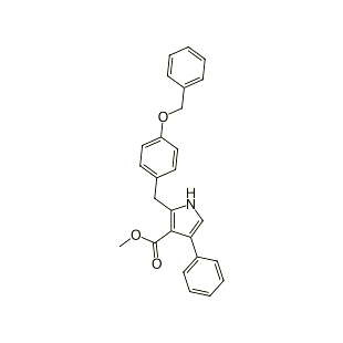 COC(=O)c1c(-c2ccccc2)c[nH]c1Cc1ccc(OCc2ccccc2)cc1